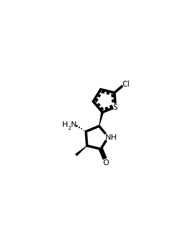 C[C@@H]1C(=O)N[C@H](c2ccc(Cl)s2)[C@H]1N